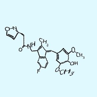 COc1cc(/C=C2/C(C)=C(CNC(=O)Cc3ccon3)c3cc(F)ccc32)cc(OC)c1O